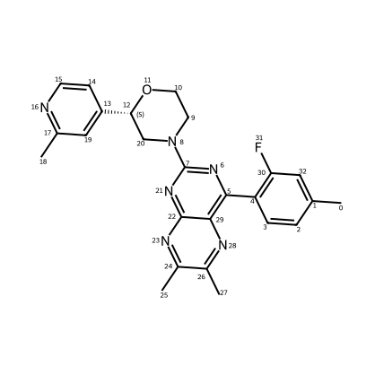 Cc1ccc(-c2nc(N3CCO[C@@H](c4ccnc(C)c4)C3)nc3nc(C)c(C)nc23)c(F)c1